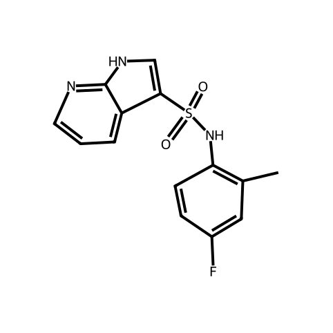 Cc1cc(F)ccc1NS(=O)(=O)c1c[nH]c2ncccc12